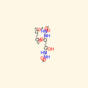 C#CCOc1cc(CCc2ccc(C(C)(C)C)c(OOc3cc(CCc4ccc(CNCCNC(=O)OC(C)(C)C)c(O)c4)ccc3CNCCNC(=O)OC(C)(C)C)c2)ccc1C(C)(C)C